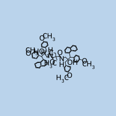 CCC(CC)(C(=O)NCC(O)(Cc1ccc(OC)cc1)C(c1ccc(OC)cc1)c1cccc2ccccc12)C(=O)NCC(O)(Cc1ccc(OC)cc1)C(c1ccc(OC)cc1)c1cccc2ccccc12